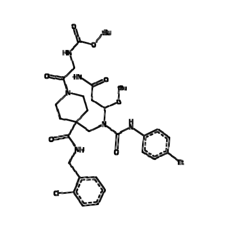 CCc1ccc(NC(=O)N(CC2(C(=O)NCc3ccccc3Cl)CCN(C(=O)CNC(=O)OC(C)(C)C)CC2)C(CC([NH])=O)OC(C)(C)C)cc1